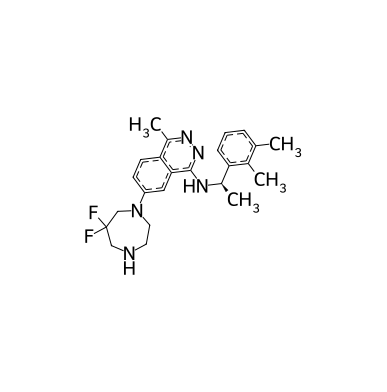 Cc1cccc([C@@H](C)Nc2nnc(C)c3ccc(N4CCNCC(F)(F)C4)cc23)c1C